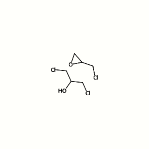 ClCC1CO1.OC(CCl)CCl